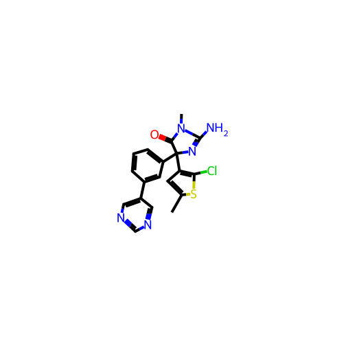 Cc1cc(C2(c3cccc(-c4cncnc4)c3)N=C(N)N(C)C2=O)c(Cl)s1